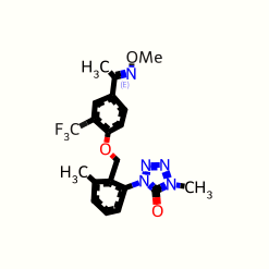 CO/N=C(\C)c1ccc(OCc2c(C)cccc2-n2nnn(C)c2=O)c(C(F)(F)F)c1